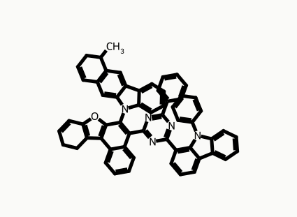 CC1CC=Cc2cc3c(cc21)c1ccccc1n3-c1c(-c2nc(-c3ccccc3)nc(-c3cccc4c5ccccc5n(-c5ccccc5)c34)n2)c2ccccc2c2c3c(oc12)C=CCC3